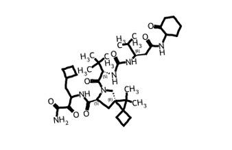 CC(C)[C@@H](CC(=O)NC1CCCCC1=O)NC(=O)N[C@H](C(=O)N1C[C@]2(C[C@H]1C(=O)NC(CC1CCC1)C(=O)C(N)=O)C(C)(C)C21CCC1)C(C)(C)C